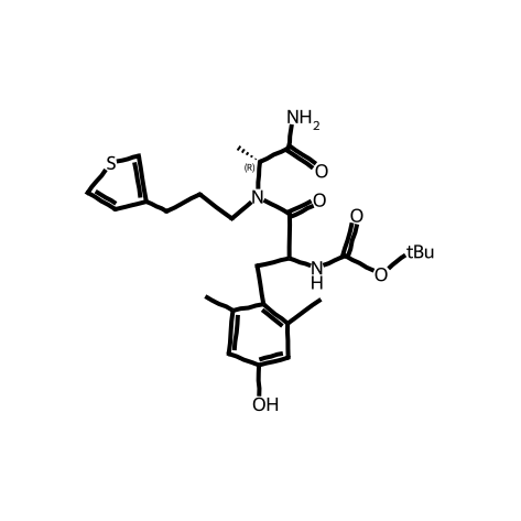 Cc1cc(O)cc(C)c1CC(NC(=O)OC(C)(C)C)C(=O)N(CCCc1ccsc1)[C@H](C)C(N)=O